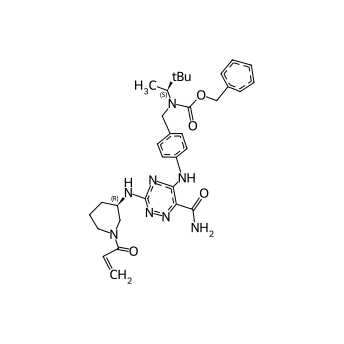 C=CC(=O)N1CCC[C@@H](Nc2nnc(C(N)=O)c(Nc3ccc(CN(C(=O)OCc4ccccc4)[C@@H](C)C(C)(C)C)cc3)n2)C1